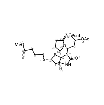 CCCCCC(CCN1C(=O)N[C@@H]2C[C@H](SCCCC(=O)OC)C[C@]21C1CCC(=S)O1)OC(C)=O